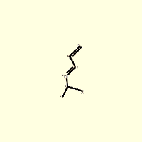 C=C/C=N/C(C)C